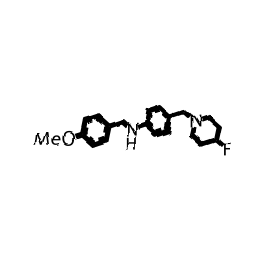 COc1ccc(CNc2ccc(CN3CCC(F)CC3)cc2)cc1